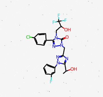 CC(O)c1nc(Cn2nc(-c3ccc(Cl)cc3)n(CC(O)C(F)(F)F)c2=O)nn1-c1cccc(F)c1